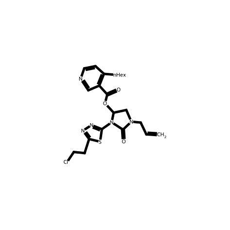 C=CCN1CC(OC(=O)c2cnccc2CCCCCC)N(c2nnc(CCCl)s2)C1=O